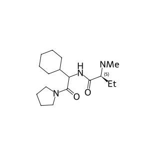 CC[C@H](NC)C(=O)NC(C(=O)N1CCCC1)C1CCCCC1